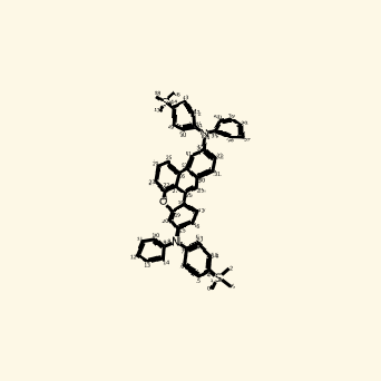 CS(C)(C)c1ccc(N(c2ccccc2)c2ccc3c(c2)Oc2cccc4c2c-3cc2ccc(N(c3ccccc3)c3ccc(S(C)(C)C)cc3)cc24)cc1